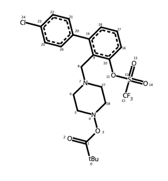 CC(C)(C)C(=O)ON1CCN(Cc2c(OS(=O)(=O)C(F)(F)F)cccc2-c2ccc(Cl)cc2)CC1